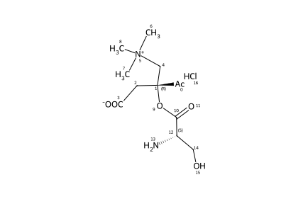 CC(=O)[C@@](CC(=O)[O-])(C[N+](C)(C)C)OC(=O)[C@@H](N)CO.Cl